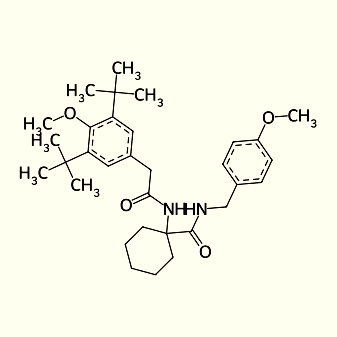 COc1ccc(CNC(=O)C2(NC(=O)Cc3cc(C(C)(C)C)c(OC)c(C(C)(C)C)c3)CCCCC2)cc1